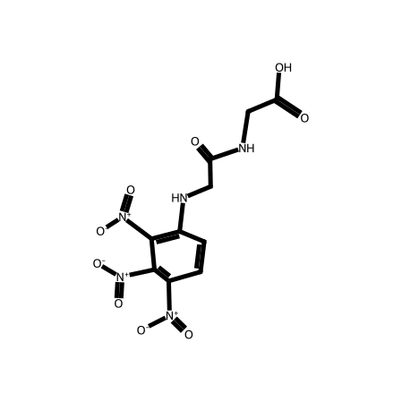 O=C(O)CNC(=O)CNc1ccc([N+](=O)[O-])c([N+](=O)[O-])c1[N+](=O)[O-]